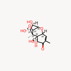 CC1=C[C@H]2O[C@@H]3[C@H](O)[C@@H](O)[C@](C)([C@@]2(CO)[C@H](O)C1=O)[C@]31CO1